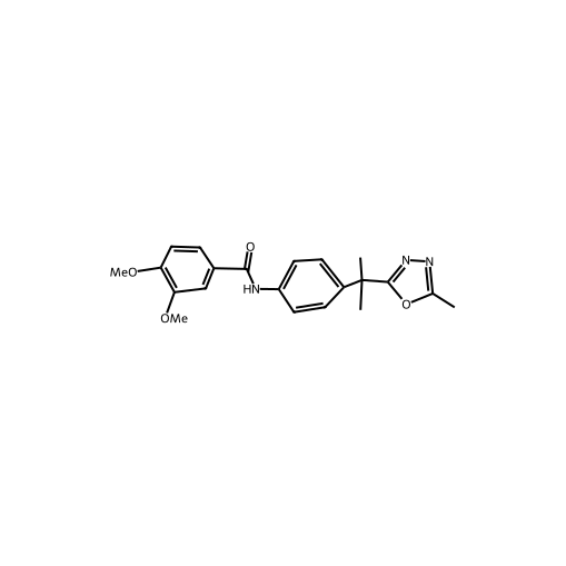 COc1ccc(C(=O)Nc2ccc(C(C)(C)c3nnc(C)o3)cc2)cc1OC